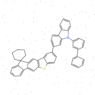 c1ccc(-c2cccc(-n3c4ccccc4c4ccc(-c5ccc6sc7cc8c(cc7c6c5)C5(CCCCC5)c5ccccc5-8)cc43)c2)cc1